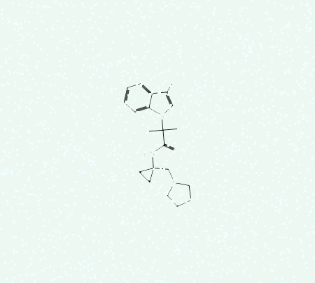 CC(C)(C(=O)NC1(CN2CCCC2)CC1)n1cc(Cl)c2ccccc21